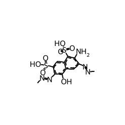 CN=Nc1cc2c(O)c(N=NC)c(S(=O)(=O)O)cc2c(S(=O)(=O)O)c1N